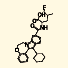 CC(CF)CC(NC(=O)c1ccc2c(C3CCCCC3)c3n(c2c1)CCOc1ccccc1-3)C(=O)O